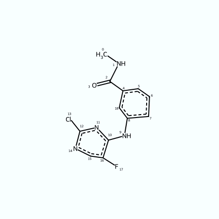 CNC(=O)c1cccc(Nc2nc(Cl)ncc2F)c1